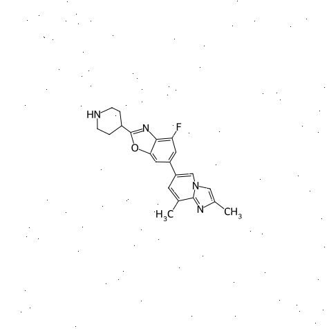 Cc1cn2cc(-c3cc(F)c4nc(C5CCNCC5)oc4c3)cc(C)c2n1